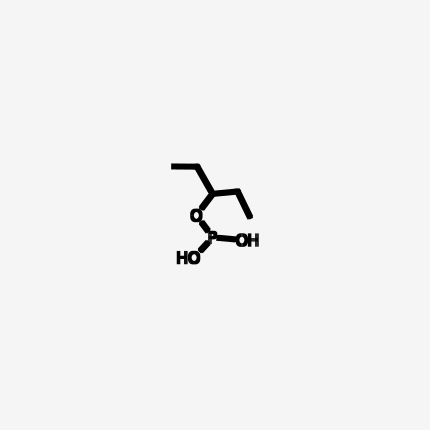 CCC(CC)OP(O)O